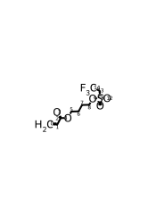 C=CC(=O)OCCCCOS(=O)(=O)CC(F)(F)F